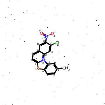 Cc1ccc2sc3ccc4cc([N+](=O)[O-])c(Cl)cc4[n+]3c2c1